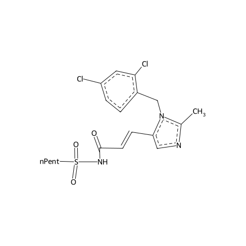 CCCCCS(=O)(=O)NC(=O)C=Cc1cnc(C)n1Cc1ccc(Cl)cc1Cl